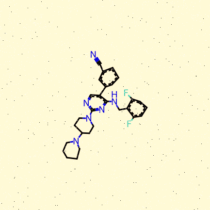 N#Cc1cccc(-c2cnc(N3CCC(N4CCCCC4)CC3)nc2NCc2c(F)cccc2F)c1